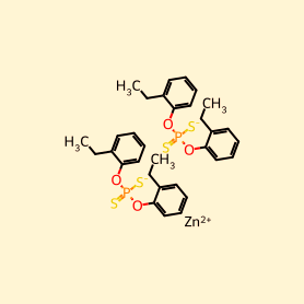 CCc1ccccc1OP(=S)([S-])Oc1ccccc1CC.CCc1ccccc1OP(=S)([S-])Oc1ccccc1CC.[Zn+2]